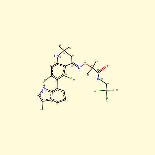 Cc1c[nH]c2c(-c3c(F)cc4c(c3F)C(=NOC(C)(C)C(=O)NCC(F)(F)F)CC(C)(C)N4)cccc12